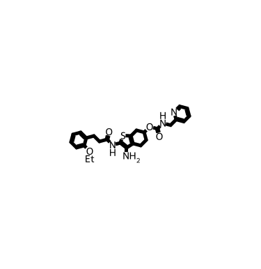 CCOc1ccccc1CCC(=O)Nc1sc2c(c1N)CCC(OC(=O)NCc1ccccn1)C2